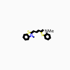 C=C(/C=C/C=C1/Sc2ccccc2N1C)Sc1ccccc1NC